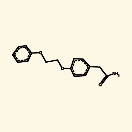 NC(=O)Cc1ccc(OCCOc2ccccc2)cc1